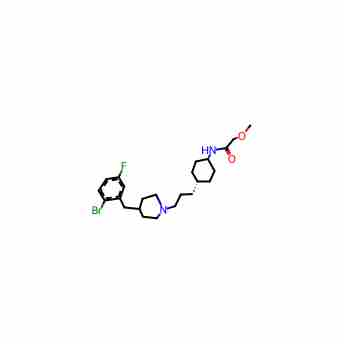 COCC(=O)N[C@H]1CC[C@H](CCCN2CCC(Cc3cc(F)ccc3Br)CC2)CC1